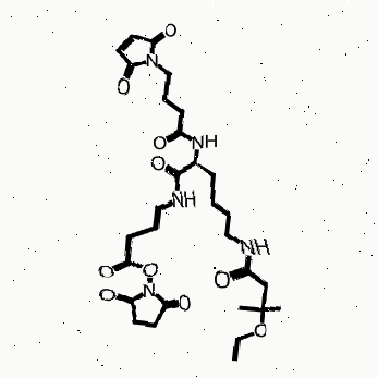 CCOC(C)(C)CC(=O)NCCCC[C@H](NC(=O)CCCN1C(=O)C=CC1=O)C(=O)NCCCC(=O)ON1C(=O)CCC1=O